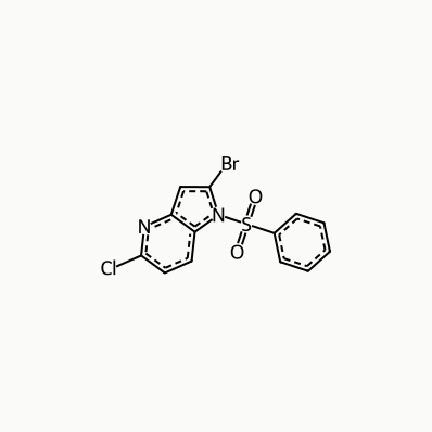 O=S(=O)(c1ccccc1)n1c(Br)cc2nc(Cl)ccc21